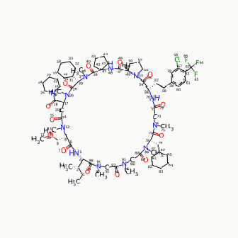 CC[C@H](C)[C@@H]1NC(=O)[C@H](COC)N(C)C(=O)C[C@@H](C(=O)N2CCCCC2)N(C)C(=O)[C@H](C2CCCCC2)N(C)C(=O)C2(CCCC2)NC(=O)[C@@H]2CCCN2C(=O)[C@H](CCc2ccc(C(F)(F)F)c(Cl)c2)NC(=O)CN(C)C(=O)[C@H](CC2CCCCC2)N(C)C(=O)CN(C)C(=O)CN(C)C1=O